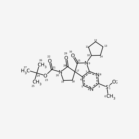 C[S+]([O-])c1ncc2c(n1)N(C1CCCC1)C(=O)C21CCN(C(=O)OC(C)(C)C)C1=O